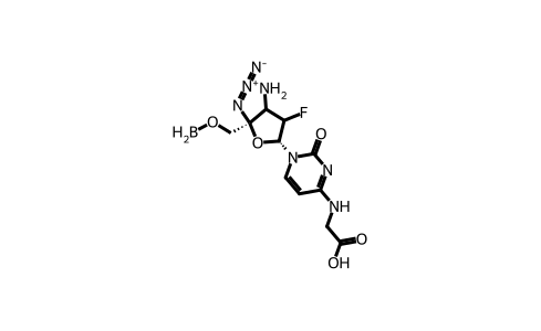 BOC[C@@]1(N=[N+]=[N-])O[C@@H](n2ccc(NCC(=O)O)nc2=O)C(F)C1N